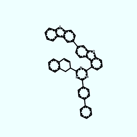 C1=CC(c2nc(-c3ccc(-c4ccccc4)cc3)nc(-c3cccc4oc5cc(-c6ccc7sc8ccccc8c7c6)ccc5c34)n2)Cc2ccccc21